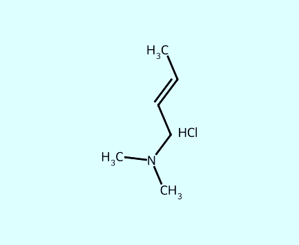 C/C=C/CN(C)C.Cl